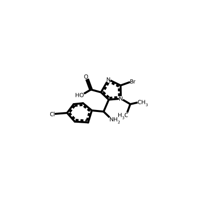 CC(C)n1c(Br)nc(C(=O)O)c1C(N)c1ccc(Cl)cc1